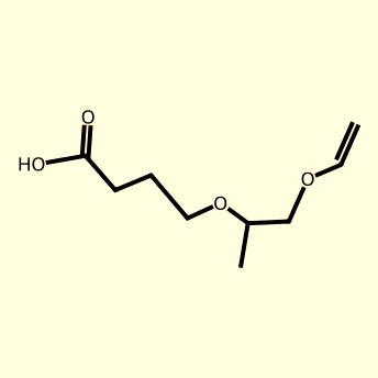 C=COCC(C)OCCCC(=O)O